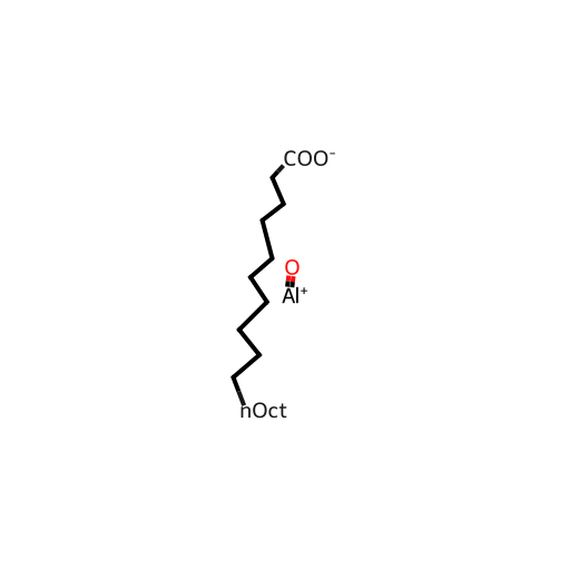 CCCCCCCCCCCCCCCCCC(=O)[O-].[O]=[Al+]